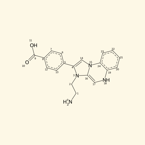 NCCN1C(c2ccc(C(=O)O)cc2)=CN2C1=CNc1ccccc12